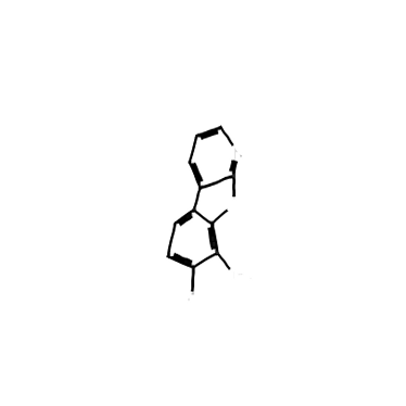 Cc1ccc2c(oc3ncccc32)c1C(C)(C)C